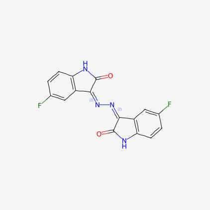 O=C1Nc2ccc(F)cc2/C1=N/N=C1\C(=O)Nc2ccc(F)cc21